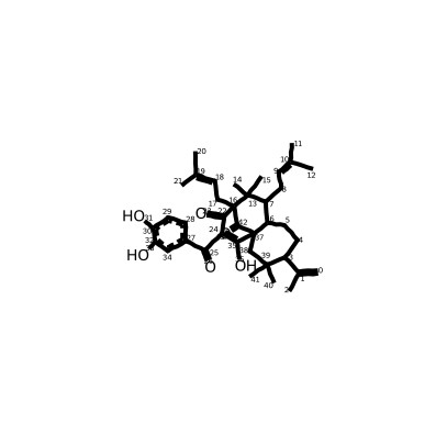 C=C(C)C1CCC2C(CC=C(C)C)C(C)(C)C3(CC=C(C)C)C(=O)C(C(=O)c4ccc(O)c(O)c4)=C(O)C2(CC1(C)C)C3=O